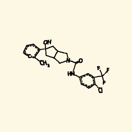 Cc1ccccc1C1(O)CC2CN(C(=O)Nc3ccc(Cl)c(C(F)(F)F)c3)CC2C1